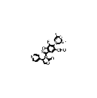 C[C@@H]1CN(c2c(C=O)cc3c(N4C(=O)OCC4c4ccncc4)noc3c2F)C[C@@H](C)O1